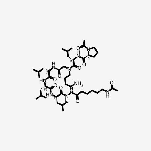 CC(=O)NCCCCCC(=O)NNC(=O)[C@@H](CC(C)C)NC(=O)[C@H](CC(C)C)NC(=O)[C@H](CC(C)C)NC(=O)CN(CCCCN)C(=O)[C@H](CC(C)C)NC(=O)[C@@H]1CCCN1C(C)=O